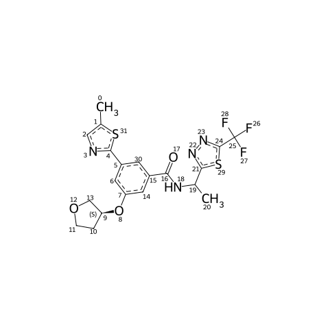 Cc1cnc(-c2cc(O[C@H]3CCOC3)cc(C(=O)NC(C)c3nnc(C(F)(F)F)s3)c2)s1